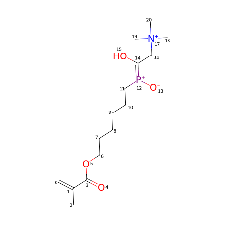 C=C(C)C(=O)OCCCCCC/[P+]([O-])=C(\O)C[N+](C)(C)C